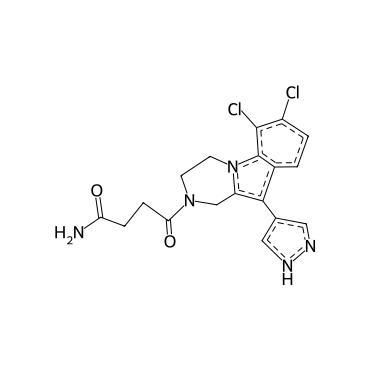 NC(=O)CCC(=O)N1CCn2c(c(-c3cn[nH]c3)c3ccc(Cl)c(Cl)c32)C1